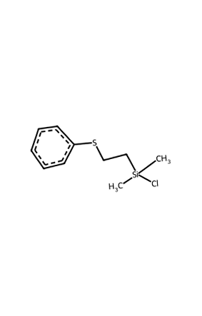 C[Si](C)(Cl)CCSc1ccccc1